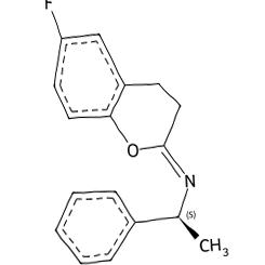 C[C@H](N=C1CCc2cc(F)ccc2O1)c1ccccc1